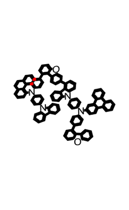 c1ccc2c(c1)ccc1cccc(N(c3ccc(-c4cccc5oc6cc(-c7cccc8c7c7ccccc7n8-c7ccc(N(c8ccc(-c9cccc%10oc%11ccccc%11c9%10)cc8)c8ccc9c%10ccccc%10c%10ccccc%10c9c8)cc7)ccc6c45)cc3)c3ccc(-n4c5ccccc5c5ccccc54)cc3)c12